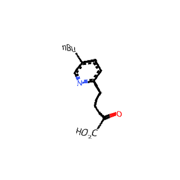 CCCCc1ccc(CCC(=O)C(=O)O)nc1